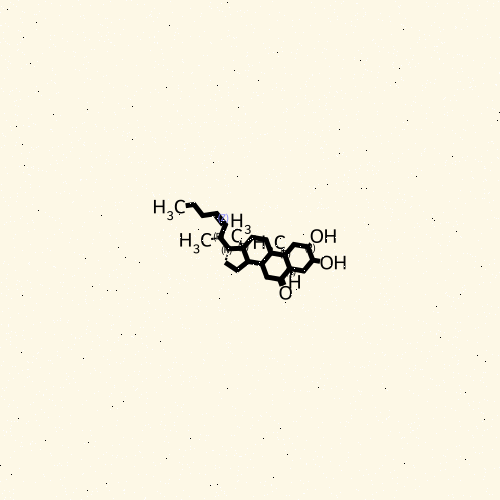 CCC/C=C\[C@@H](C)[C@H]1CCC2C3CC(=O)[C@H]4CC(O)[C@H](O)C[C@]4(C)C3CC[C@@]21C